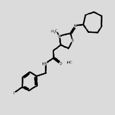 CN1/C(=N/C2CCCCCC2)SCC1CC(=O)NCc1ccc(F)cc1.Cl